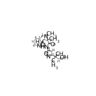 CN(C[C@@H]1CCCNC1)C(C)(C)C(=O)Nc1cc(C(C)(C)CO)no1